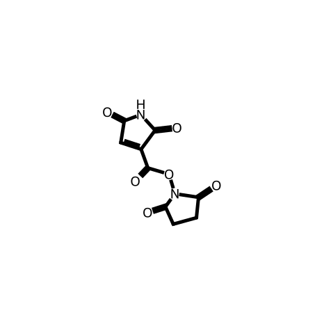 O=C1C=C(C(=O)ON2C(=O)CCC2=O)C(=O)N1